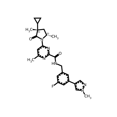 Cc1cc(N2C(=O)[C@](C)(C3CC3)C[C@@H]2C)nc(C(=O)NCc2cc(F)cc(-c3cnn(C)c3)c2)n1